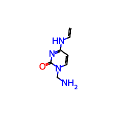 C=CNc1ccn(CN)c(=O)n1